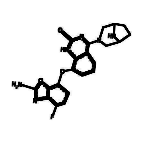 Nc1nc2c(F)ccc(Oc3cccc4c(N5CC6CCC(C5)N6)nc(=O)[nH]c34)c2o1